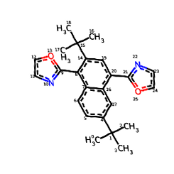 CC(C)(C)c1ccc2c(-c3ncco3)c(C(C)(C)C)cc(-c3ncco3)c2c1